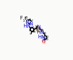 Cc1cc(Nc2nccc(C(F)(F)F)n2)cc(-c2cnc(CNCC3CCC(=O)N3)s2)c1